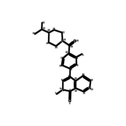 Cc1cc(-c2cn(C)c(=O)c3cnccc23)ccc1C(=O)N1CCC(C(C)C)CC1